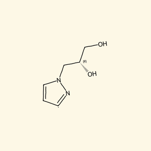 OC[C@H](O)Cn1cc[c]n1